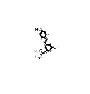 CC(C)OC1=CC(/C=C/c2ccc(O)cc2)=CC(O)C1